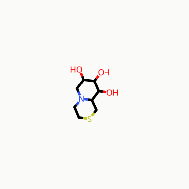 OC1CN2CCSCC2C(O)C1O